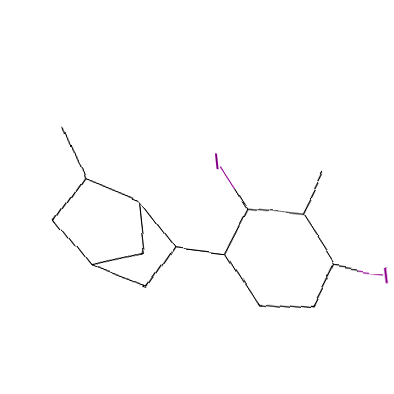 CC1CC2CC1C(C1CCC(I)C(C)C1I)C2